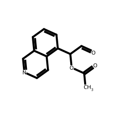 CC(=O)OC(C=O)c1cccc2cnccc12